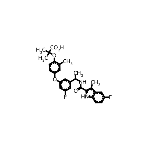 Cc1cc(Oc2cc(F)cc(C(C)NC(=O)c3[nH]c4ccc(F)cc4c3C)c2)ccc1OC(C)(C)C(=O)O